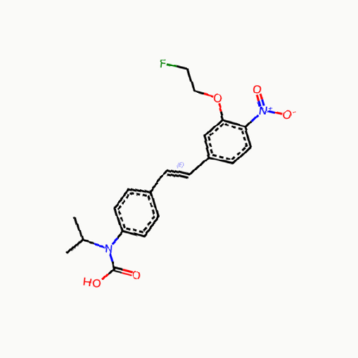 CC(C)N(C(=O)O)c1ccc(/C=C/c2ccc([N+](=O)[O-])c(OCCF)c2)cc1